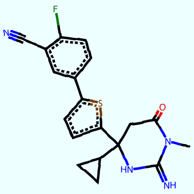 CN1C(=N)NC(c2ccc(-c3ccc(F)c(C#N)c3)s2)(C2CC2)CC1=O